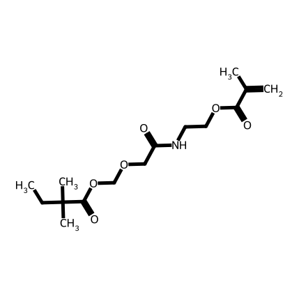 C=C(C)C(=O)OCCNC(=O)COCOC(=O)C(C)(C)CC